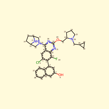 Oc1cc(-c2c(Cl)cc3c(N4CC5CCC(C4)N5)nc(OCC4CCCN4CC4CC4)nc3c2F)c2ccccc2c1